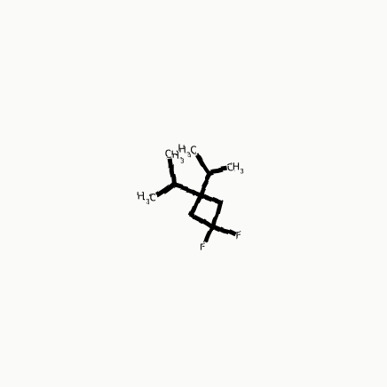 CC(C)C1(C(C)C)CC(F)(F)C1